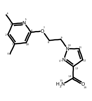 Cc1cc(C)nc(OCCn2c[c]c(C(N)=O)n2)c1